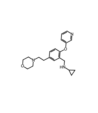 c1cncc(Oc2ccc(CCN3CCOCC3)cc2CNC2CC2)c1